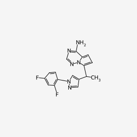 CC(c1cnn(-c2ccc(F)cc2F)c1)c1ccc2c(N)ncnn12